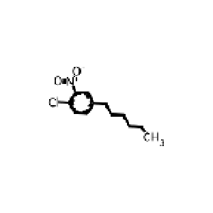 CCCCCCc1ccc(Cl)c([N+](=O)[O-])c1